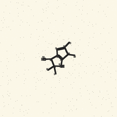 CC1=CC2=C(NC(C)(C)C2O)C1C